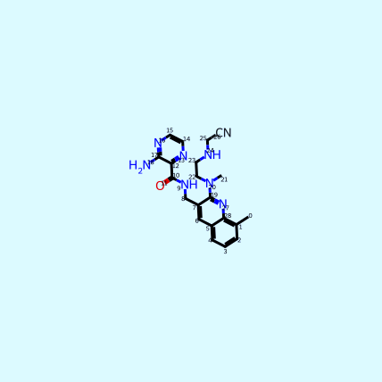 Cc1cccc2cc(CNC(=O)c3nccnc3N)c(N(C)CCNCC#N)nc12